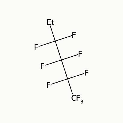 CCC(F)(F)C(F)(F)C(F)(F)C(F)(F)F